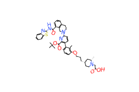 Cc1c(OCCC[C@H]2CCN(CC(=O)O)[C@@H](C)C2)cccc1-c1ccc(N2CCc3cccc(C(=O)Nc4nc5ccccc5s4)c3C2)nc1C(=O)OC(C)(C)C